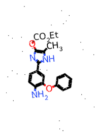 CCOC(=O)Oc1nc(-c2ccc(N)c(Oc3ccccc3)c2)[nH]c1C